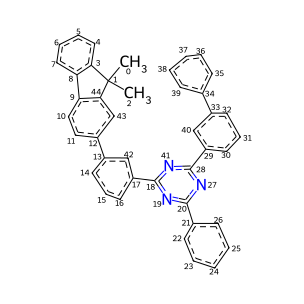 CC1(C)c2ccccc2-c2ccc(-c3cccc(-c4nc(-c5ccccc5)nc(-c5cccc(-c6ccccc6)c5)n4)c3)cc21